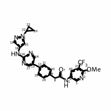 COc1ncc(NC(=O)Cc2ccc(-c3cnc(Nc4cnn(C5CC5)c4)nc3)cc2)cc1C(F)(F)F